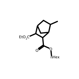 CCCCCCOC(=O)C1C2CC(CC2C)C1C(=O)OCC